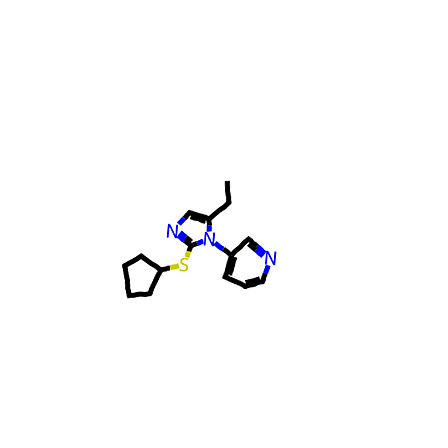 CCc1cnc(SC2CCCC2)n1-c1cccnc1